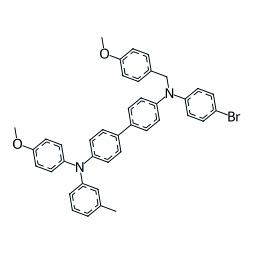 COc1ccc(CN(c2ccc(Br)cc2)c2ccc(-c3ccc(N(c4ccc(OC)cc4)c4cccc(C)c4)cc3)cc2)cc1